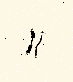 CCCCCCl.N#CC#N